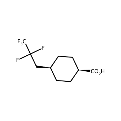 O=C(O)[C@H]1CC[C@@H](CC(F)(F)C(F)(F)F)CC1